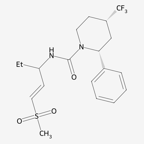 CCC(/C=C/S(C)(=O)=O)NC(=O)N1CC[C@H](C(F)(F)F)C[C@@H]1c1ccccc1